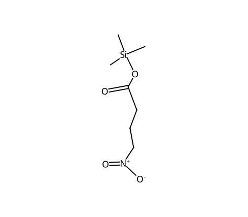 C[Si](C)(C)OC(=O)CCC[N+](=O)[O-]